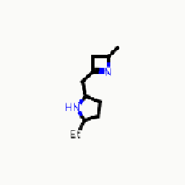 CCC1CCC(CC2=NC(C)C2)N1